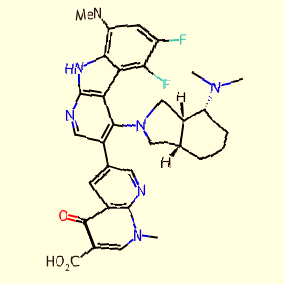 CNc1cc(F)c(F)c2c1[nH]c1ncc(-c3cnc4c(c3)c(=O)c(C(=O)O)cn4C)c(N3C[C@H]4CCC[C@@H](N(C)C)[C@H]4C3)c12